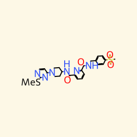 CSc1nccc(N2CCC(NC(=O)c3cccc(C(=O)NCc4ccc(S(C)(=O)=O)cc4)n3)CC2)n1